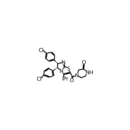 CC(C)C1=C(C(=O)N2CCNC(=O)C2)SC2=N[C@H](c3ccc(Cl)cc3)[C@H](c3ccc(Cl)cc3)N21